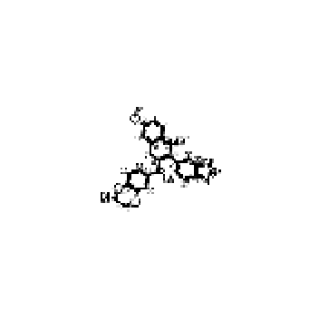 COc1cccc(CC(C(=O)c2ccc3c(c2)OCCO3)=C(C(=O)[O-])c2ccc3nsnc3c2)c1.[Na+]